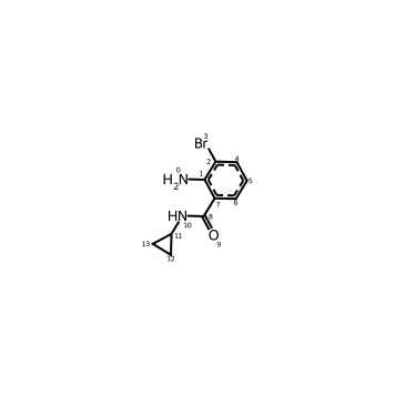 Nc1c(Br)cccc1C(=O)NC1CC1